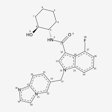 O=C(N[C@H]1CCCC[C@@H]1O)c1cn(Cc2ccc3nccn3c2)c2cccc(F)c12